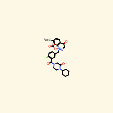 COc1ccc2c(c1)[N+](Cc1ccc(F)c(C(=O)N3CCN(C4CCCCC4)C(=O)C3)c1)(OC(=O)C(F)(F)F)N=CC2=O